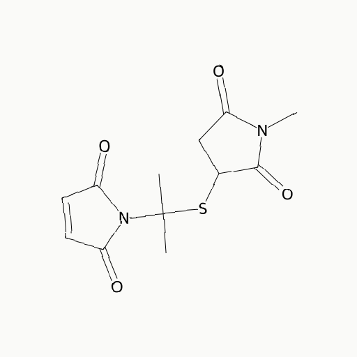 CN1C(=O)CC(SC(C)(C)N2C(=O)C=CC2=O)C1=O